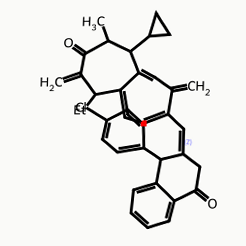 C=C1C=C2C(=CC=C1/C=C1/CC(=O)c3ccccc3C1c1ccc(Cl)cc1)C(CC)C(=C)C(=O)C(C)C2C1CC1